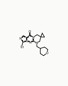 CCc1ncc2c(=O)n3c(nn12)N(CC1CCOCC1)CC1(CC1)C3